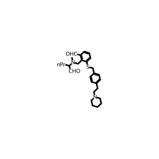 CCCC(C=O)N(C)Cc1c(C=O)cccc1SCc1ccc(CCN2CCCCC2)cc1